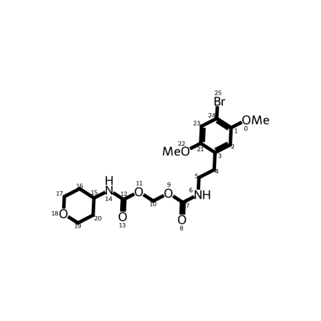 COc1cc(CCNC(=O)OCOC(=O)NC2CCOCC2)c(OC)cc1Br